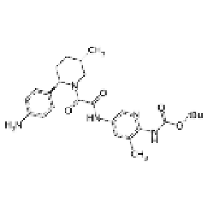 Cc1cc(NC(=O)C(=O)N2C[C@@H](C)CC[C@@H]2c2ccc(N)cc2)cnc1NC(=O)OC(C)(C)C